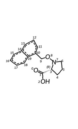 O=C(O)[C@H]1CCCN1OCc1cccc2ccccc12